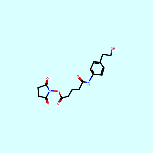 O=C(CCCC(=O)ON1C(=O)CCC1=O)Nc1ccc(CCO)cc1